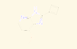 COc1ccnc2[nH]c(C3=CC=C3)nc12